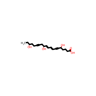 CC[C@@H](O)CCC#CC[C@@H](O)/C=C/C=C/C#C[C@@H](O)CCCC(=O)O